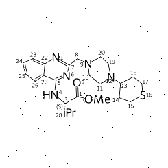 COC(=O)[C@@H](Nc1nc(CN2CCN(C3CCSCC3)CC2)nc2ccccc12)C(C)C